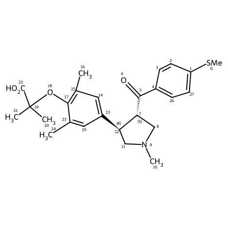 CSc1ccc(C(=O)[C@@H]2CN(C)C[C@H]2c2cc(C)c(OC(C)(C)C(=O)O)c(C)c2)cc1